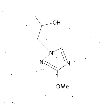 COc1ncn(CC(C)O)n1